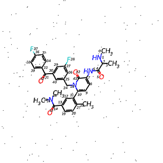 CNC(C)C(=O)Nc1ccc(-c2cc(C(=O)N(C)C)ccc2C)n(Cc2cc(F)cc(C(=O)c3ccc(F)cc3)c2)c1=O